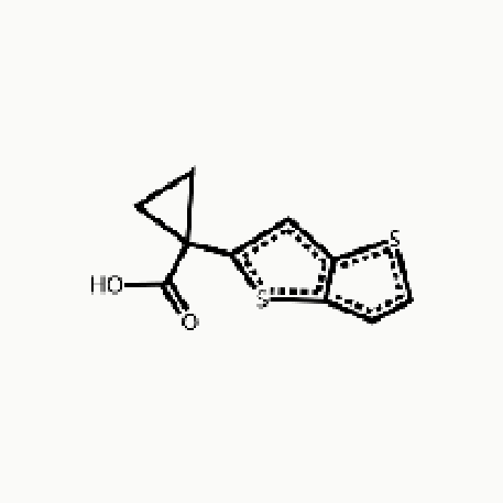 O=C(O)C1(c2cc3sccc3s2)CC1